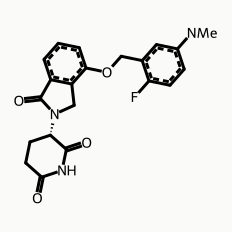 CNc1ccc(F)c(COc2cccc3c2CN([C@H]2CCC(=O)NC2=O)C3=O)c1